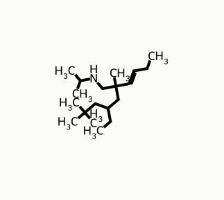 CCC=CC(C)(CNC(C)C)CC(CC)CC(C)(C)C